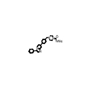 CNC(=O)N1CCN(Cc2ccc(-c3ccn4c(-c5ccccc5)cnc4c3)cc2)CC1